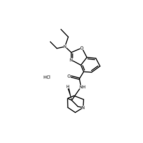 CCN(CC)c1nc2c(C(=O)N[C@@H]3CN4CCC3CC4)cccc2o1.Cl